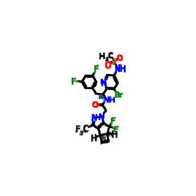 CS(=O)(=O)Nc1cnc([C@H](Cc2cc(F)cc(F)c2)NC(=O)Cn2nc(C(F)(F)F)c3c2C(F)(F)[C@@H]2C=C[C@H]32)c(Br)c1